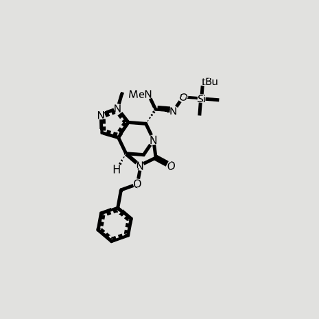 CN/C(=N\O[Si](C)(C)C(C)(C)C)[C@H]1c2c(cnn2C)[C@H]2CN1C(=O)N2OCc1ccccc1